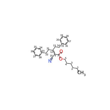 CCCCCCOC(=O)C(C#N)=C(CCc1ccccc1)CCc1ccccc1